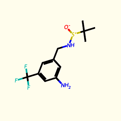 CC(C)(C)[S+]([O-])NCc1cc(N)cc(C(F)(F)F)c1